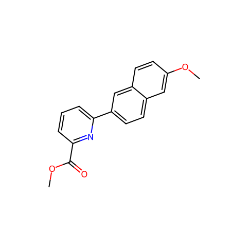 COC(=O)c1cccc(-c2ccc3cc(OC)ccc3c2)n1